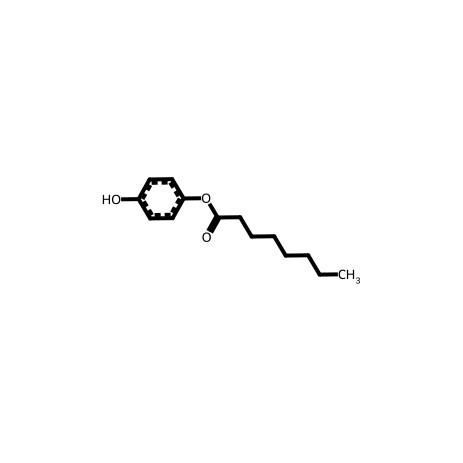 CCCCCCCC(=O)Oc1ccc(O)cc1